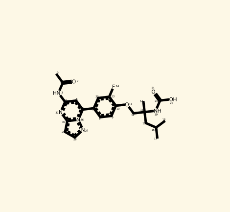 CC(=O)Nc1cc(-c2ccc(OCC(C)(CC(C)C)NC(=O)O)c(F)c2)n2nccc2n1